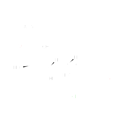 CC(=O)OCC(=O)[C@H]1[C@H](C)C[C@H]2[C@@H]3C=C(Cl)C4=CC(=O)CC[C@]4(C)[C@H]3CC[C@@]21C